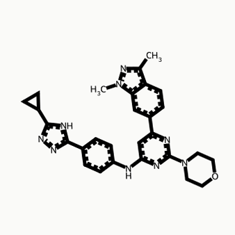 Cc1nn(C)c2cc(-c3cc(Nc4ccc(-c5nnc(C6CC6)[nH]5)cc4)nc(N4CCOCC4)n3)ccc12